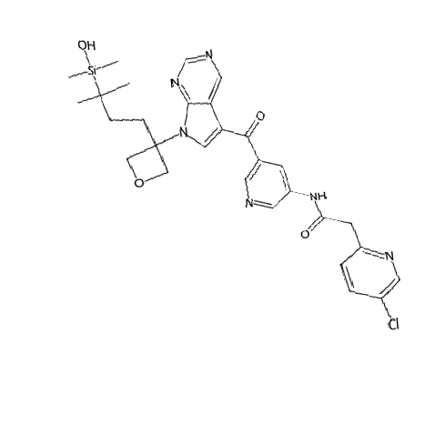 CC(C)(CCC1(n2cc(C(=O)c3cncc(NC(=O)Cc4ccc(Cl)cn4)c3)c3cncnc32)COC1)[Si](C)(C)O